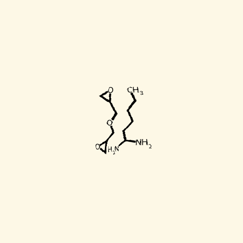 C(OCC1CO1)C1CO1.CCCCCC(N)N